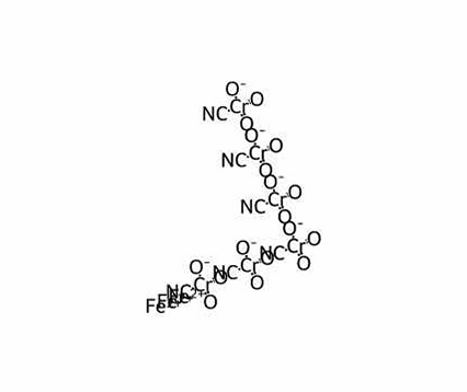 N#[C][Cr](=[O])(=[O])[O-].N#[C][Cr](=[O])(=[O])[O-].N#[C][Cr](=[O])(=[O])[O-].N#[C][Cr](=[O])(=[O])[O-].N#[C][Cr](=[O])(=[O])[O-].N#[C][Cr](=[O])(=[O])[O-].[Fe+2].[Fe+2].[Fe+2]